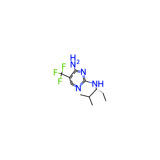 CC[C@@H](Nc1ncc(C(F)(F)F)c(N)n1)C(C)C